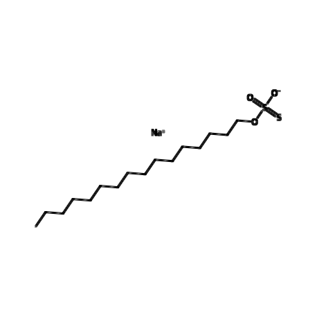 CCCCCCCCCCCCCCCCOS(=O)([O-])=S.[Na+]